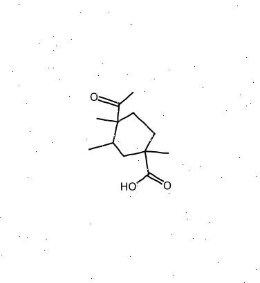 CC(=O)C1(C)CCC(C)(C(=O)O)CC1C